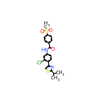 CC(C)c1nc(-c2ccc(NC(=O)c3ccc(S(C)(=O)=O)cc3)cc2Cl)cs1